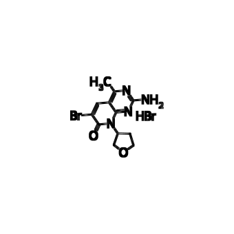 Br.Cc1nc(N)nc2c1cc(Br)c(=O)n2C1CCOC1